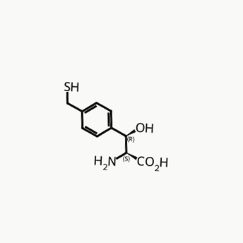 N[C@H](C(=O)O)[C@H](O)c1ccc(CS)cc1